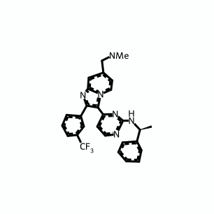 CNCc1ccn2c(-c3ccnc(N[C@@H](C)c4ccccc4)n3)c(-c3cccc(C(F)(F)F)c3)nc2c1